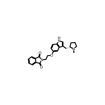 CN1CCC[C@H]1Cc1c[nH]c2ccc(OCCN3C(=O)c4ccccc4C3=O)cc12